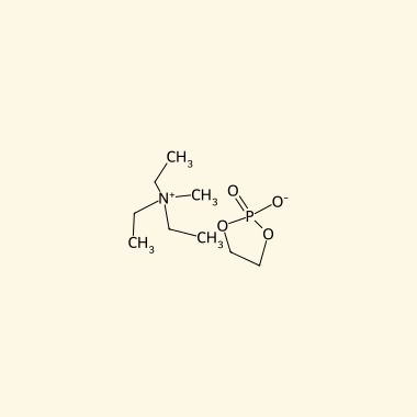 CC[N+](C)(CC)CC.O=P1([O-])OCCO1